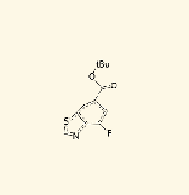 CC(C)(C)OC(=O)c1cc(F)c2ncsc2c1